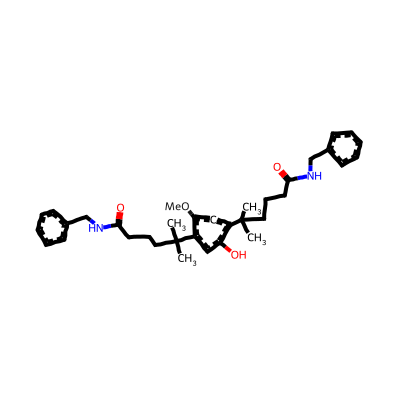 COc1cc(C(C)(C)CCCC(=O)NCc2ccccc2)c(O)cc1C(C)(C)CCCC(=O)NCc1ccccc1